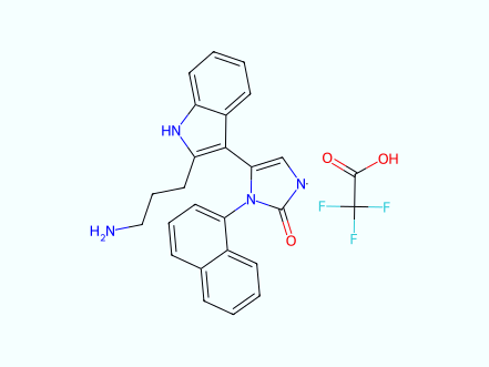 NCCCc1[nH]c2ccccc2c1C1=C[N]C(=O)N1c1cccc2ccccc12.O=C(O)C(F)(F)F